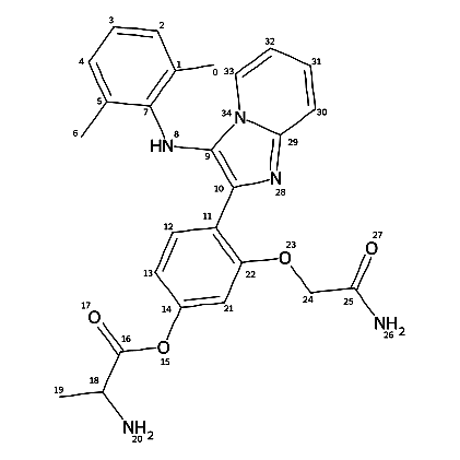 Cc1cccc(C)c1Nc1c(-c2ccc(OC(=O)C(C)N)cc2OCC(N)=O)nc2ccccn12